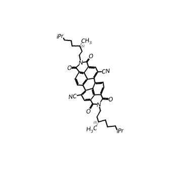 CC(C)CCC[C@H](C)CCN1C(=O)c2ccc3c4c(C#N)cc5c6c(ccc(c7c(C#N)cc(c2c37)C1=O)c64)C(=O)N(CC[C@@H](C)CCCC(C)C)C5=O